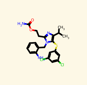 CC(C)c1nc(CCOC(N)=O)n(Cc2ccccc2N)c1Sc1cc(Cl)cc(Cl)c1